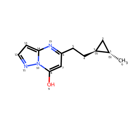 C[C@H]1C[C@@H]1CCc1cc(O)n2nccc2n1